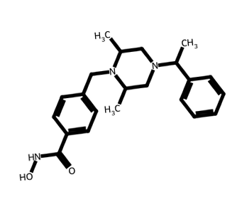 CC(c1ccccc1)N1CC(C)N(Cc2ccc(C(=O)NO)cc2)C(C)C1